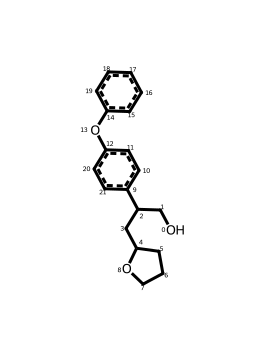 OCC(CC1CCCO1)c1ccc(Oc2ccccc2)cc1